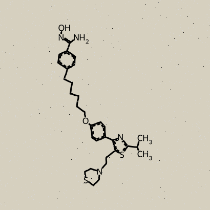 CC(C)c1nc(-c2ccc(OCCCCCCc3ccc(/C(N)=N/O)cc3)cc2)c(CCN2CCSCC2)s1